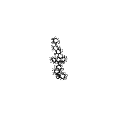 c1ccc(-c2ccc3cc(-c4c5ccccc5c(-c5ccc6c(ccc7oc8ccccc8c76)c5)c5ccccc45)ccc3c2)cc1